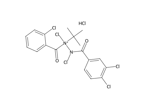 CC(C)(C)[N+](Cl)(C(=O)c1ccccc1Cl)N(Cl)C(=O)c1ccc(Cl)c(Cl)c1.Cl